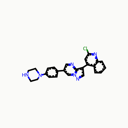 Clc1cc(-c2cnn3cc(-c4ccc(N5CCNCC5)cc4)cnc23)c2ccccc2n1